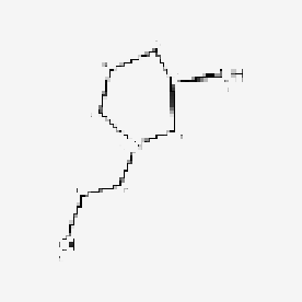 OCCN1CCC[C@@H](O)C1